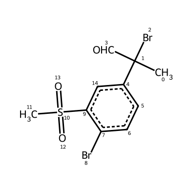 CC(Br)(C=O)c1ccc(Br)c(S(C)(=O)=O)c1